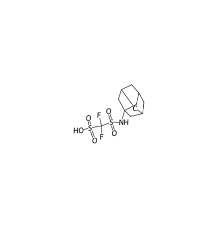 O=S(=O)(O)C(F)(F)S(=O)(=O)NC12CC3CC(CC(C3)C1)C2